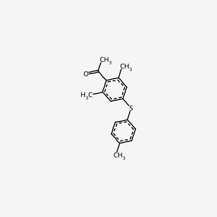 CC(=O)c1c(C)cc(Sc2ccc(C)cc2)cc1C